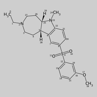 CCN1CC[C@H]2c3cc(S(=O)(=O)c4cccc(OC)c4)ccc3N(C)[C@H]2CC1